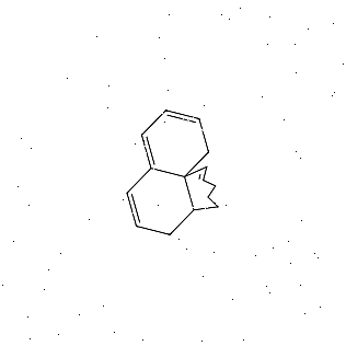 C1=CCC23C=CCCCC2CC=CC3=C1